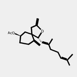 C=C1CC2(C[C@H](OC(C)=O)CCC2=C)[C@@H](/C=C(\C)CCC=C(C)C)O1